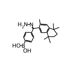 Cc1cc2c(cc1C(=NN)c1ccc(B(O)O)cc1)C(C)(C)CCC2(C)C